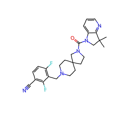 CC1(C)CN(C(=O)N2CCC3(CCN(Cc4c(F)ccc(C#N)c4F)CC3)C2)c2cccnc21